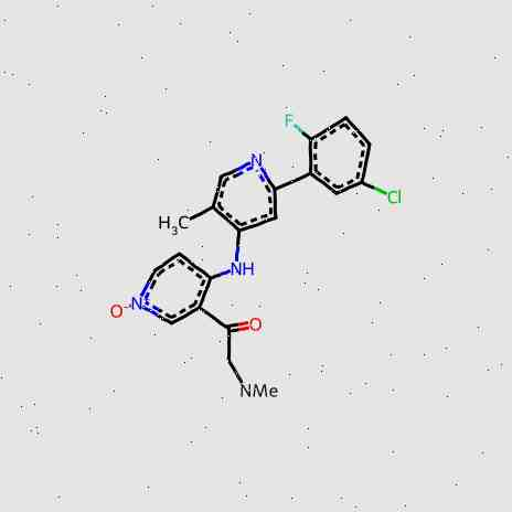 CNCC(=O)c1c[n+]([O-])ccc1Nc1cc(-c2cc(Cl)ccc2F)ncc1C